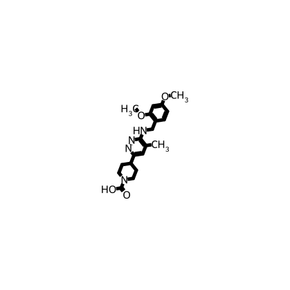 COc1ccc(CNc2nnc(C3CCN(C(=O)O)CC3)cc2C)c(OC)c1